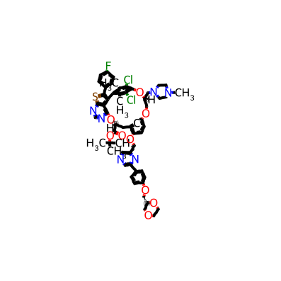 Cc1c(Cl)c2c(Cl)c(C)c1-c1c(-c3ccc(F)cc3)sc3ncnc(c13)O[C@@H](C(=O)OC(C)(C)C)Cc1cc(ccc1OCc1cncc(-c3ccc(OC[C@H]4COCCO4)cc3)n1)OC[C@@H](CN1CCN(C)CC1)O2